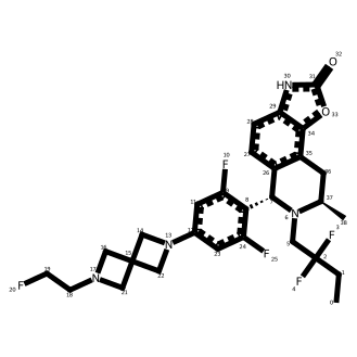 CCC(F)(F)CN1[C@H](c2c(F)cc(N3CC4(CN(CCF)C4)C3)cc2F)c2ccc3[nH]c(=O)oc3c2C[C@H]1C